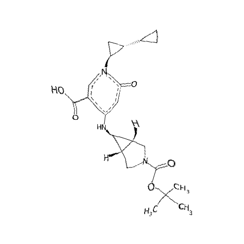 CC(C)(C)OC(=O)N1C[C@@H]2[C@H](C1)[C@H]2Nc1cc(=O)n([C@H]2C[C@@H]2C2CC2)cc1C(=O)O